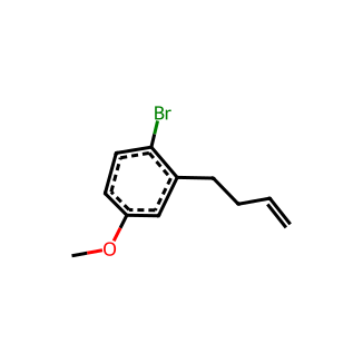 C=CCCc1cc(OC)ccc1Br